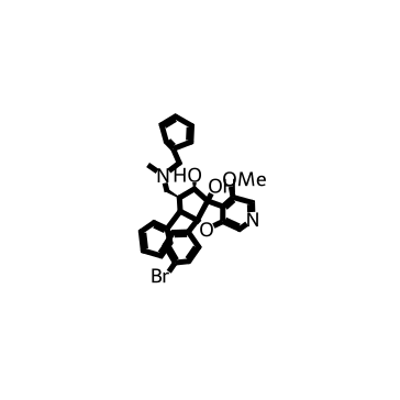 COc1cncc2c1C1(O)[C@H](O)[C@H](CN(C)Cc3ccccc3)C(c3ccccc3)C1(c1ccc(Br)cc1)O2